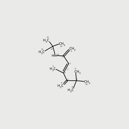 C=C(/C=C(\C)C(=C)C(C)(C)C)NC(C)(C)C